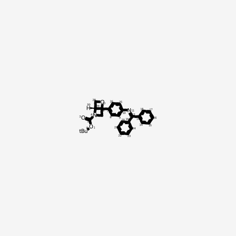 CC(C)(C)OC(=O)N1CC2(c3ccc(N=C(c4ccccc4)c4ccccc4)cc3)OC[C@@H]12